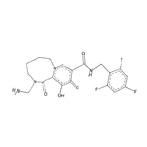 NCN1CCCCn2cc(C(=O)NCc3c(F)cc(F)cc3F)c(=O)c(O)c2C1=O